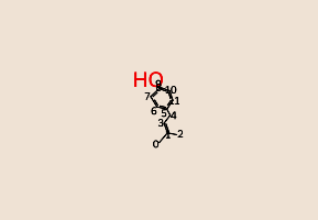 CC(C)=CCc1ccc(O)cc1